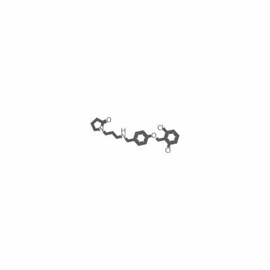 O=C1CCCN1CCCNCc1ccc(OCc2c(Cl)cccc2Cl)cc1